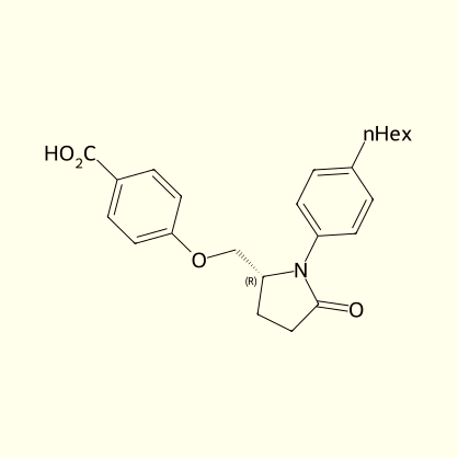 CCCCCCc1ccc(N2C(=O)CC[C@@H]2COc2ccc(C(=O)O)cc2)cc1